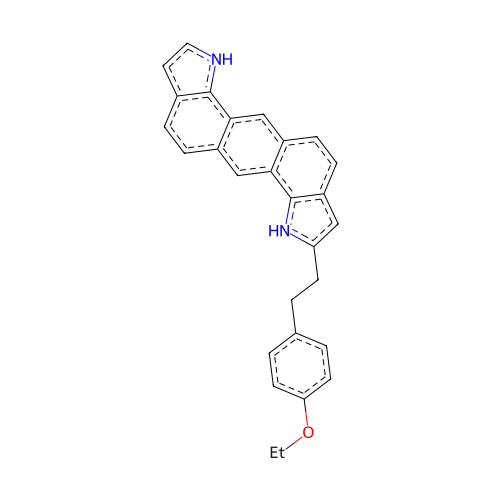 CCOc1ccc(CCc2cc3ccc4cc5c(ccc6cc[nH]c65)cc4c3[nH]2)cc1